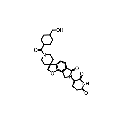 O=C1CCC(N2Cc3c(ccc4c3OCC43CCN(C(=O)C4CCC(CO)CC4)CC3)C2=O)C(=O)N1